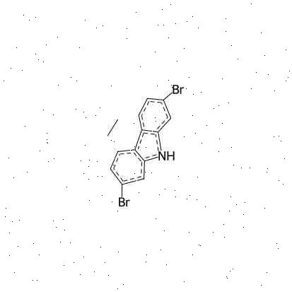 Brc1ccc2c(c1)[nH]c1cc(Br)ccc12.CC